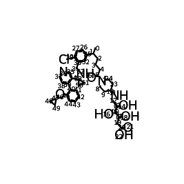 CC(CCCC(=O)N1CCC(NC[C@H](O)[C@@H](O)[C@H](O)CC(=O)O)CC1)c1ccc(Cl)c(CNC2(c3cnccc3-c3ccccc3OC3CC3)CC2)c1